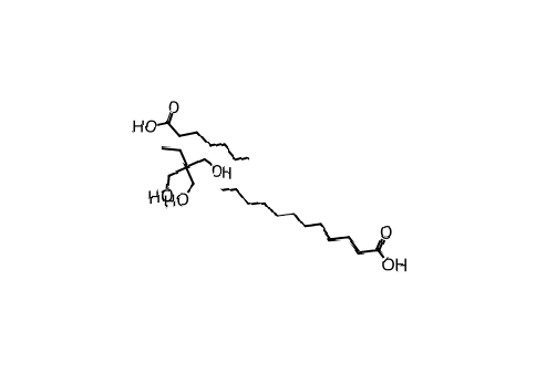 CCC(CO)(CO)CO.CCCCCCC(=O)O.CCCCCCCCCCCC(=O)O